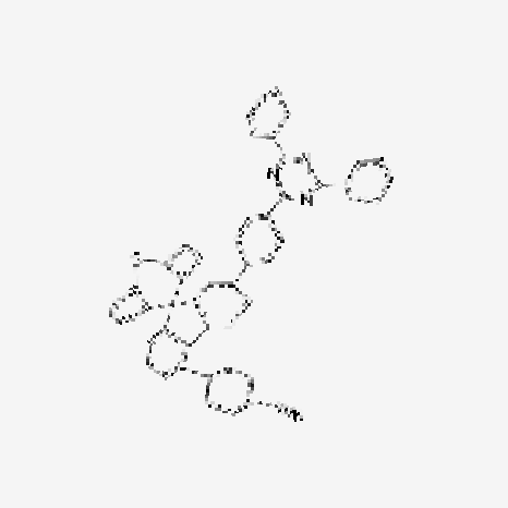 N#Cc1ccc(-c2cccc3c2-c2ccc(-c4ccc(-c5nc(-c6ccccc6)nc(-c6ccccc6)n5)cc4)cc2C32c3ccccc3Sc3ccccc32)cc1